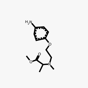 COC(=O)C(C)N(C)CCOc1ccc(N)cc1